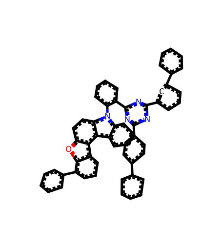 c1ccc(-c2ccc(-c3nc(-c4cccc(-c5ccccc5)c4)nc(-c4ccccc4-n4c5ccccc5c5c6c(ccc54)oc4c(-c5ccccc5)cccc46)n3)cc2)cc1